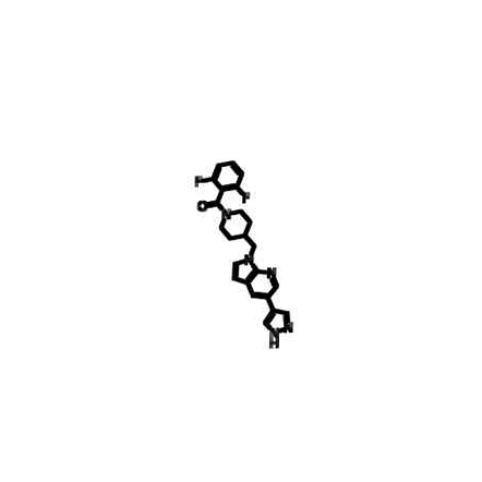 O=C(c1c(F)cccc1F)N1CCC(Cn2ccc3cc(-c4cn[nH]c4)cnc32)CC1